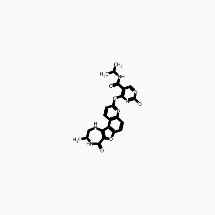 CC(C)NC(=O)c1cnc(Cl)nc1Oc1ccc2c(ccc3oc4c(c32)NCC(C)NC4=O)n1